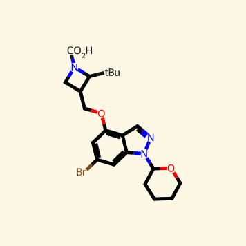 CC(C)(C)C1C(COc2cc(Br)cc3c2cnn3C2CCCCO2)CN1C(=O)O